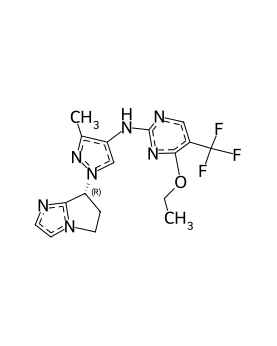 CCOc1nc(Nc2cn([C@@H]3CCn4ccnc43)nc2C)ncc1C(F)(F)F